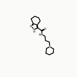 O=C(NCCCN1CCCCC1)c1[nH]nc2c1CCCC2